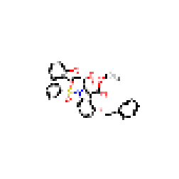 COC(=O)c1c(C(O)c2cc3ccccc3o2)n(S(=O)(=O)c2ccccc2)c2cccc(OCc3ccccc3)c12